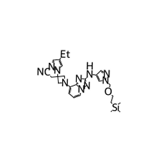 CCc1cnn(C2(CC#N)CN(c3cccn4nc(Nc5cnn(COCC[Si](C)(C)C)c5)nc34)C2)c1